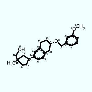 COc1cccc(CO[C@H]2CCc3cc([C@H]4CC[C@](C)(CO)C4)ccc3C2)c1